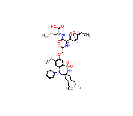 C=C(/C=C\C(O)=C/C)[C@@H](NC(=O)COc1cc2c(cc1SC)N(c1ccccc1)CC(CCCC)(CCCC)NS2(=O)=O)C(=O)N[C@@H](CSC)C(=O)O